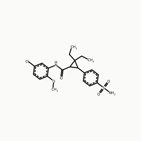 CCC1(CC)C(C(=O)Nc2cc(Cl)ccc2OC)C1c1ccc(S(N)(=O)=O)cc1